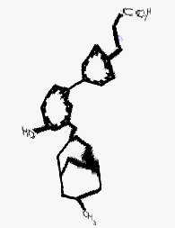 CC1CC2CC(C1)CC(c1cc(-c3ccc(/C=C/C(=O)O)cc3)ccc1O)C2